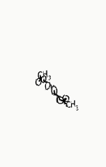 CCC(=O)OCCOCCOCCOC(C)=O